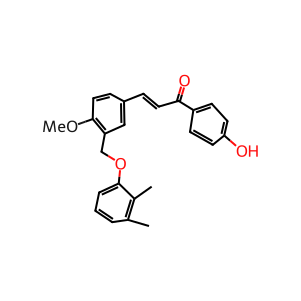 COc1ccc(/C=C/C(=O)c2ccc(O)cc2)cc1COc1cccc(C)c1C